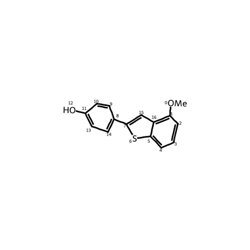 COc1cccc2sc(-c3ccc(O)cc3)cc12